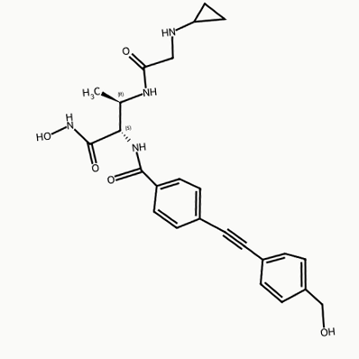 C[C@@H](NC(=O)CNC1CC1)[C@H](NC(=O)c1ccc(C#Cc2ccc(CO)cc2)cc1)C(=O)NO